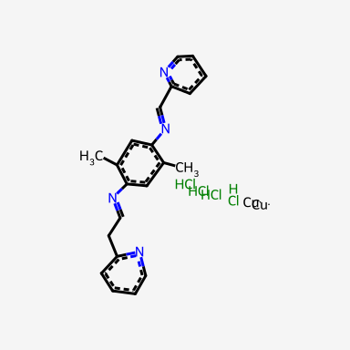 Cc1cc(N=Cc2ccccn2)c(C)cc1N=CCc1ccccn1.Cl.Cl.Cl.Cl.[Cu].[Cu]